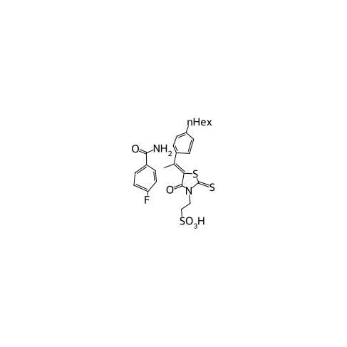 CCCCCCc1ccc(C(C)=C2SC(=S)N(CCS(=O)(=O)O)C2=O)cc1.NC(=O)c1ccc(F)cc1